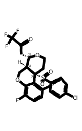 O=C(C[C@@H]1OCC[C@@]2(S(=O)(=O)c3ccc(Cl)cc3)c3c(F)ccc(F)c3OC[C@@H]12)C(F)(F)F